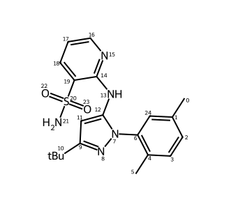 Cc1ccc(C)c(-n2nc(C(C)(C)C)cc2Nc2ncccc2S(N)(=O)=O)c1